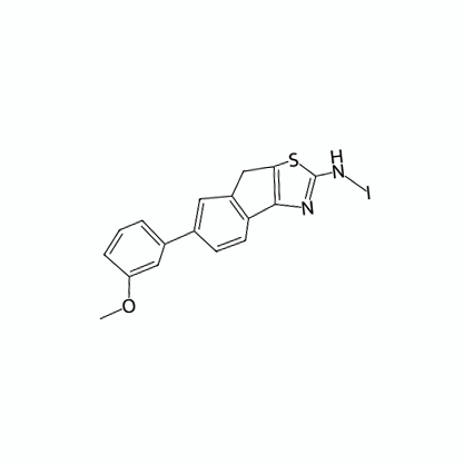 COc1cccc(-c2ccc3c(c2)Cc2sc(NI)nc2-3)c1